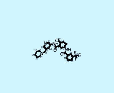 O=C(Nc1ccc(Cl)c(C(=O)Nc2cncc(CN3CCCCC3)c2)c1)c1cccc(C(F)(F)F)c1